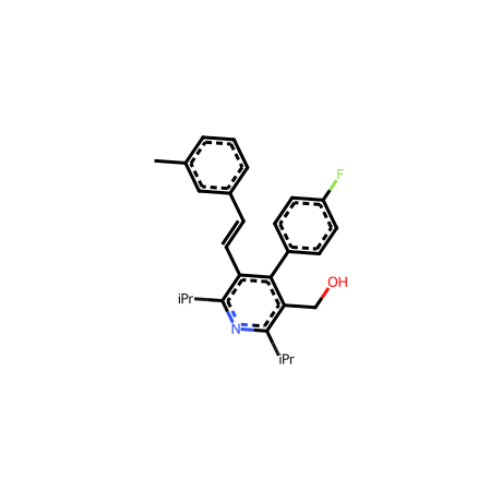 Cc1cccc(C=Cc2c(C(C)C)nc(C(C)C)c(CO)c2-c2ccc(F)cc2)c1